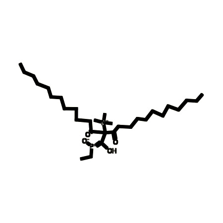 CCCCCCCCCCCC(=O)C(C(=O)CCCCCCCCCCC)(C(O)=[P+]([O-])CC)[N+](C)(C)C